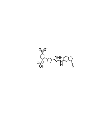 N#CC1CCc2ccc(Nc3cc([C@H]4CC[C@@H](c5cc([N+](=O)[O-])ccc5OC(=O)O)C4)n[nH]3)cc21